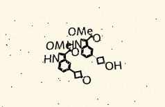 COC(=O)c1c[nH]c2ccc(C3CC(=O)C3)cc12.COC(=O)c1c[nH]c2ccc([C@H]3C[C@@H](O)C3)cc12